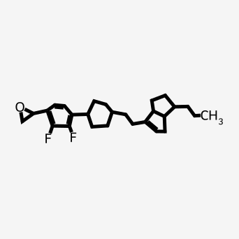 CCCC1CCC2C(CCC3CCC(c4ccc(C5CO5)c(F)c4F)CC3)=CCC12